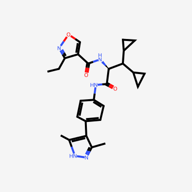 CCc1nocc1C(=O)N[C@H](C(=O)Nc1ccc(-c2c(C)n[nH]c2C)cc1)C(C1CC1)C1CC1